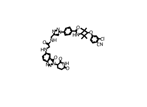 CC1(C)C(NC(=O)c2ccc(-n3cc(CNC(=O)CNc4ccc5nnn(C6CCC(=O)NC6=O)c(=O)c5c4)nn3)cc2)C(C)(C)C1Oc1ccc(C#N)c(Cl)c1